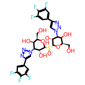 [O-][S+]([C@H]1O[C@H](CO)[C@H](O)[C@H](n2cc(-c3cc(F)c(F)c(F)c3)nn2)[C@H]1O)[C@H]1O[C@H](CO)[C@H](O)[C@H](n2cc(-c3cc(F)c(F)c(F)c3)nn2)[C@H]1O